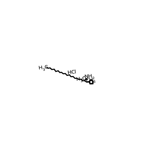 CCCCCCCCCCCCCCCCCCCCC(Cc1ccccc1)C(C)(C)N.Cl